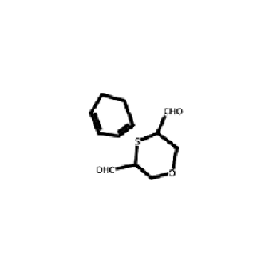 C1=CCCC=C1.O=CC1COCC(C=O)S1